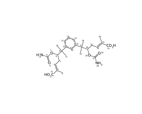 CC(=CCC(OC(N)=O)C(C)(C)c1cccc(C(C)(C)C(CC=C(C)C(=O)O)OC(N)=O)c1)C(=O)O